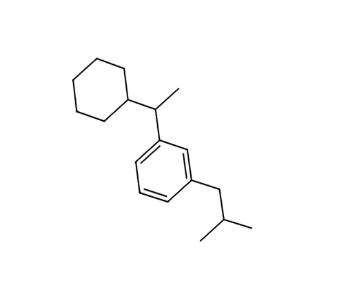 CC(C)Cc1cccc(C(C)C2CCCCC2)c1